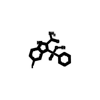 CCOP(=O)(c1ccccc1)c1c(C(N)=O)[nH]c2ccc(I)cc12